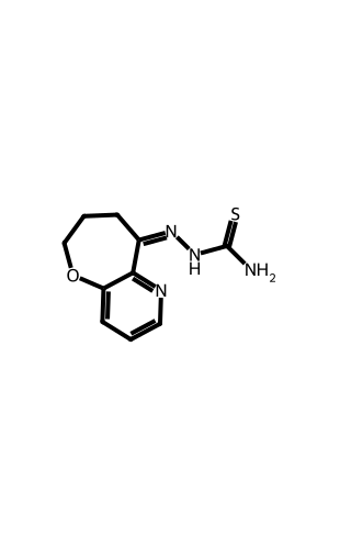 NC(=S)N/N=C1/CCCOc2cccnc21